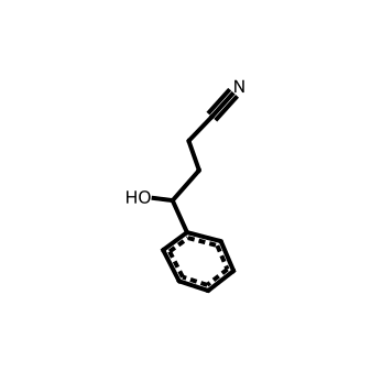 N#CCCC(O)c1ccccc1